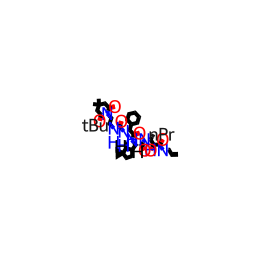 C=CCNC(=O)C(=O)C(CCC)NC(=O)[C@@H]1[C@H]2CCC3(CC3)[C@H]2CN1C(=O)[C@@H](NC(=O)N[C@H](CN1C(=O)CC(C)(C)CC1=O)C(C)(C)C)C1CCCCC1